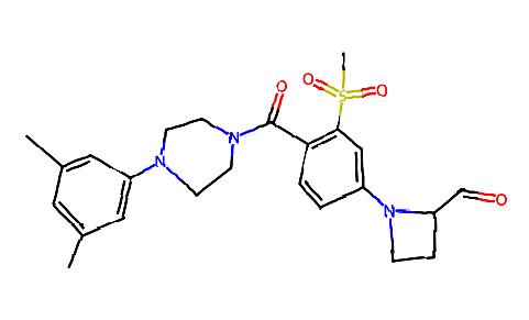 Cc1cc(C)cc(N2CCN(C(=O)c3ccc(N4CCC4C=O)cc3S(C)(=O)=O)CC2)c1